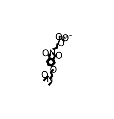 CCN(CCOc1ccc2c(c1)C(=O)N(CCCO[N+](=O)[O-])C2=O)C(C)=O